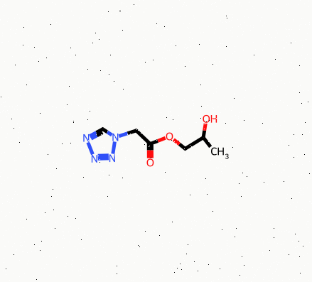 CC(O)COC(=O)Cn1cnnn1